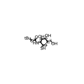 CC(C)(C)OC(=O)N[C@@H]1[C@@H](O)[C@H](O)[C@@H](CO)S[C@@H]1S